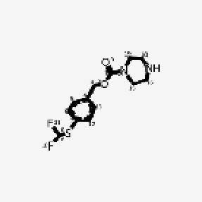 O=C(OCc1ccc(SC(F)F)cc1)N1CCNCC1